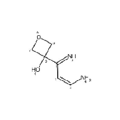 N=C(/C=C\N)C1(O)COC1